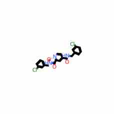 O=C(NCc1cccc(Cl)c1)c1ccnc(C(=O)[NH+]([O-])Cc2cccc(Cl)c2)c1